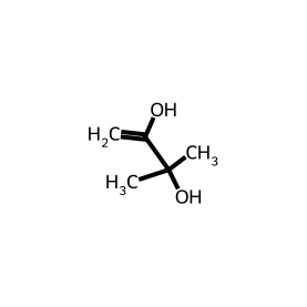 C=C(O)C(C)(C)O